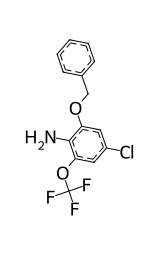 Nc1c(OCc2ccccc2)cc(Cl)cc1OC(F)(F)F